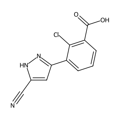 N#Cc1cc(-c2cccc(C(=O)O)c2Cl)n[nH]1